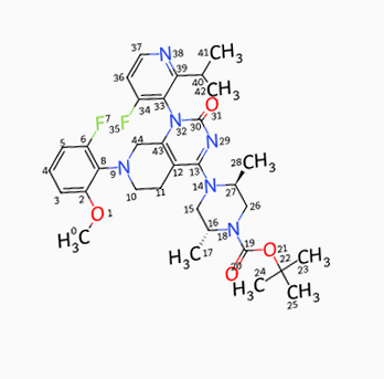 COc1cccc(F)c1N1CCc2c(N3C[C@@H](C)N(C(=O)OC(C)(C)C)C[C@@H]3C)nc(=O)n(-c3c(F)ccnc3C(C)C)c2C1